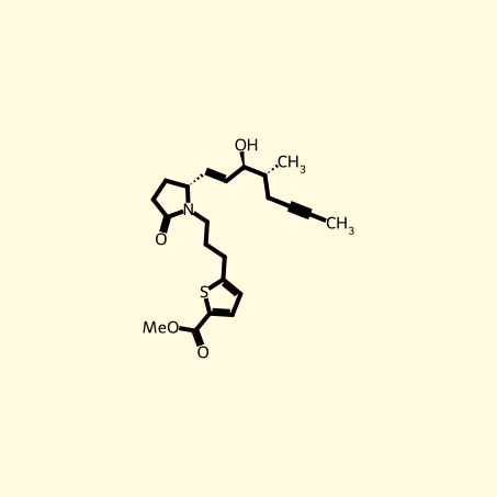 CC#CC[C@@H](C)[C@H](O)/C=C/[C@H]1CCC(=O)N1CCCc1ccc(C(=O)OC)s1